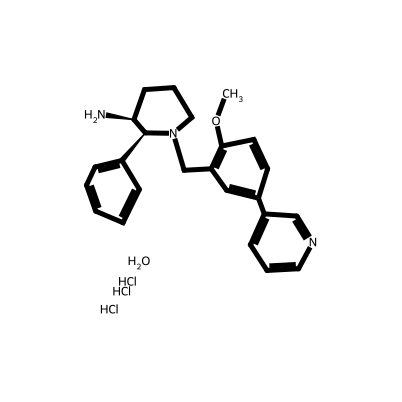 COc1ccc(-c2cccnc2)cc1CN1CCC[C@H](N)[C@@H]1c1ccccc1.Cl.Cl.Cl.O